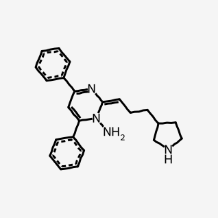 NN1C(c2ccccc2)=CC(c2ccccc2)=N/C1=C/CCC1CCNC1